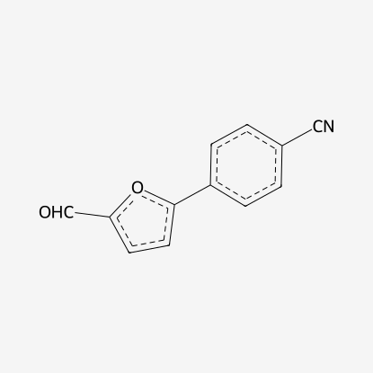 N#Cc1ccc(-c2ccc(C=O)o2)cc1